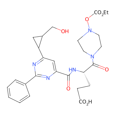 CCOC(=O)ON1CCN(C(=O)[C@H](CCC(=O)O)NC(=O)c2cc(C3CC3CO)nc(-c3ccccc3)n2)CC1